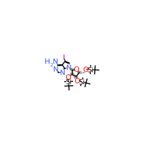 CC(C)(C)[Si](C)(C)OC[C@H]1O[C@@H](n2cc(I)c3c(N)ncnc32)[C@H](O[Si](C)(C)C(C)(C)C)[C@@H]1O[Si](C)(C)C(C)(C)C